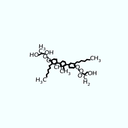 C=C(CO)C(=O)OCOc1ccc(-c2ccc(-c3ccc(OCOC(O)C(C)CO)c(CCCCCCC)c3C)cc2CC)cc1CCCCCCC